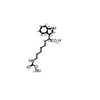 CC(C)(C)OC(=O)NCCCCCCC(C(=O)O)c1c[nH]c2ccccc12